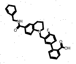 O=C(NCC1=CCCC=C1)c1ccc2c(c1)CCCN2Cc1cc(-c2ccccc2C(=O)O)ccc1F